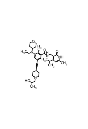 CCN(c1cc(C#CC2CCN(C[C@H](C)O)CC2)cc(C(=O)NCc2c(C(C)C)cc(C)[nH]c2=O)c1C)C1CCOCC1